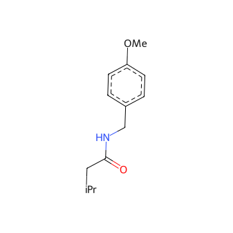 COc1ccc(CNC(=O)CC(C)C)cc1